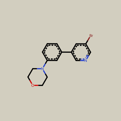 Brc1cncc(-c2cccc(N3CCOCC3)c2)c1